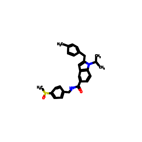 Cc1ccc(Cc2cc3cc(C(=O)NCc4ccc([S+](C)[O-])cc4)ccc3n2C(C)C)cc1